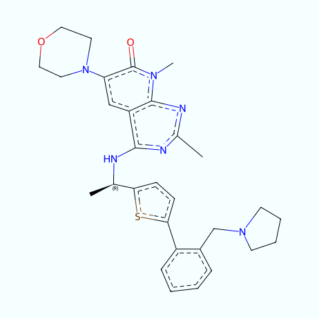 Cc1nc(N[C@H](C)c2ccc(-c3ccccc3CN3CCCC3)s2)c2cc(N3CCOCC3)c(=O)n(C)c2n1